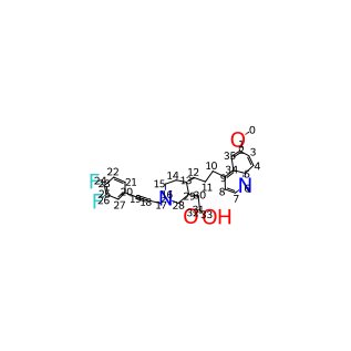 COc1ccc2nccc(CCC[C@@H]3CCN(CC#Cc4ccc(F)c(F)c4)C[C@@H]3CC(=O)O)c2c1